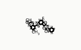 COc1cnc2c(-c3nc4cc(F)c5c(c4s3)C[C@H](CN(C(=O)O)c3ccccc3)O5)cc(C)cc2n1